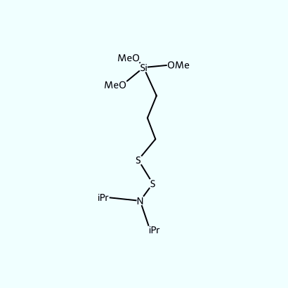 CO[Si](CCCSSN(C(C)C)C(C)C)(OC)OC